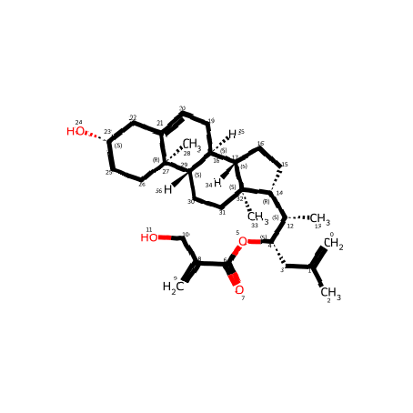 C=C(C)C[C@H](OC(=O)C(=C)CO)[C@@H](C)[C@H]1CC[C@H]2[C@@H]3CC=C4C[C@@H](O)CC[C@]4(C)[C@H]3CC[C@]12C